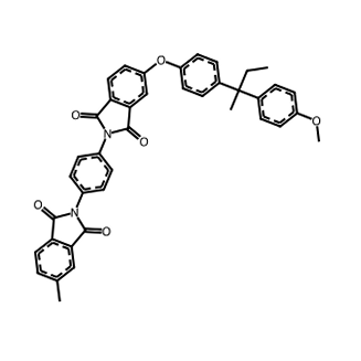 CCC(C)(c1ccc(OC)cc1)c1ccc(Oc2ccc3c(c2)C(=O)N(c2ccc(N4C(=O)c5ccc(C)cc5C4=O)cc2)C3=O)cc1